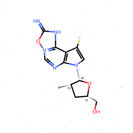 C[C@H]1C[C@@H](CO)O[C@H]1n1cc(F)c2c1nc[n+]1oc(=N)[nH]c21